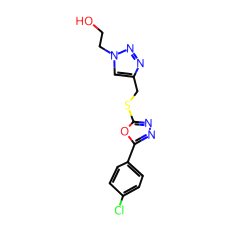 OCCn1cc(CSc2nnc(-c3ccc(Cl)cc3)o2)nn1